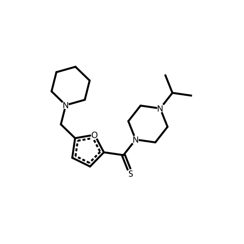 CC(C)N1CCN(C(=S)c2ccc(CN3CCCCC3)o2)CC1